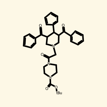 CC(C)(C)OC(=O)N1CCN(C(=O)CN2CC(C(=O)c3ccccc3)C(c3ccccc3)C(C(=O)c3ccccc3)C2)CC1